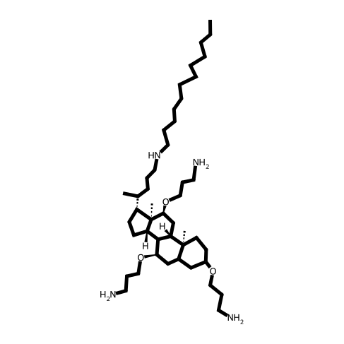 CCCCCCCCCCCCNCCCC(C)[C@H]1CC[C@H]2C3[C@H](OCCCN)CC4CC(OCCCN)CC[C@]4(C)[C@H]3C[C@H](OCCCN)[C@]12C